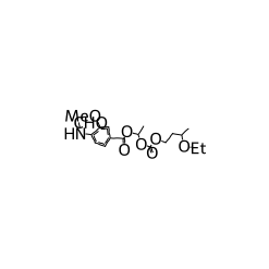 CCOC(C)CCOC(=O)OC(C)OC(=O)c1ccc(NC=O)c(OC)c1